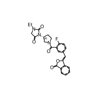 CCN1CC(=O)N([C@@H]2CCN(C(=O)c3cc(C=C4OC(=O)c5ccccc54)ccc3F)C2)C1=O